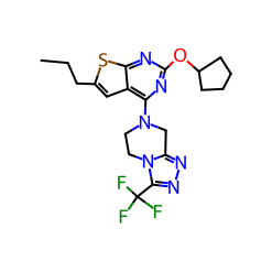 CCCc1cc2c(N3CCn4c(nnc4C(F)(F)F)C3)nc(OC3CCCC3)nc2s1